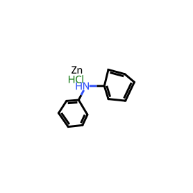 Cl.[Zn].c1ccc(Nc2ccccc2)cc1